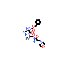 CC(C)C[C@H](NC(=O)OCc1ccccc1)C(=O)N[C@H](C(=O)NC(=O)CCN1CCOCC1)C(C)C